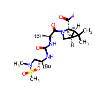 CN(C[C@@H](NC(=O)N[C@H](C(=O)N1C[C@H]2[C@@H]([C@H]1C(=O)I)C2(C)C)C(C)(C)C)C(C)(C)C)S(C)(=O)=O